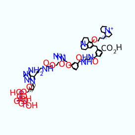 CP(=O)(O)OP(=O)(O)OP(=O)(O)OC[C@@H]1CC[C@H](n2cc(C#CCNC(=O)COCCOC(COc3cccc(C(=O)NCCNC(=O)c4ccc(C(=O)O)c(Cc5cc6c7c(c5OCC/C=C5/CCC[N+]8=C5CCCC8)CCCN7CCC6)c4)c3)N=[N+]=[N-])c3c(N)ncnc32)O1